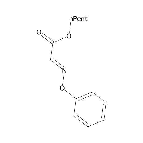 CCCCCOC(=O)C=NOc1ccccc1